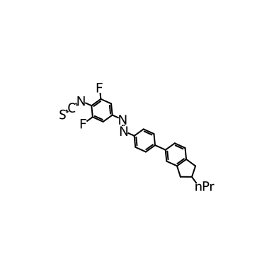 CCCC1Cc2ccc(-c3ccc(N=Nc4cc(F)c(N=C=S)c(F)c4)cc3)cc2C1